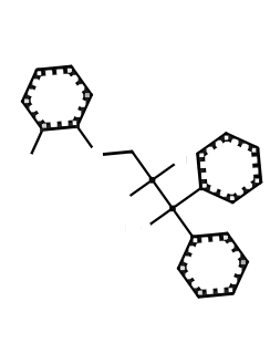 Cc1ccccc1SCC(C)(C)C(C)(c1ccccc1)c1ccccc1